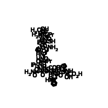 CC(C)C[C@H](NC(=O)[C@H](CCCCN)NC(=O)[C@@H]1CCCN1C(=O)[C@H](CC(C)C)NC(=O)[C@H](CS)NC(=O)[C@@H](NC(=O)[C@@H](N)[C@@H](C)O)C(C)C)C(=O)N[C@H](C(=O)N[C@@H](CCC(N)=O)C(=O)NCC(=O)N[C@H](C(=O)N[C@@H](Cc1c[nH]c2ccccc12)C(=O)NCC(=O)N1CCC[C@H]1C(=O)N[C@@H](CO)C(=O)O)[C@@H](C)O)C(C)C